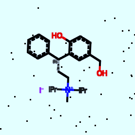 CC(C)[N+](C)(CC[C@H](c1ccccc1)c1cc(CO)ccc1O)C(C)C.[I-]